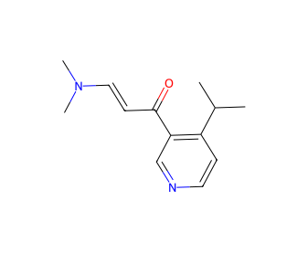 CC(C)c1ccncc1C(=O)C=CN(C)C